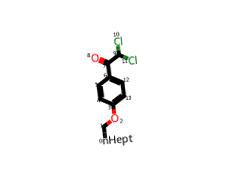 CCCCCCCCOc1ccc(C(=O)C(Cl)Cl)cc1